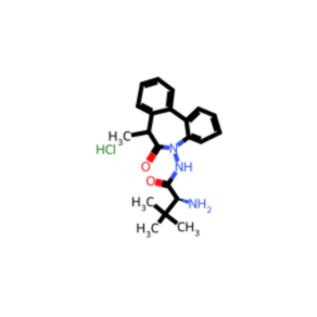 CC1C(=O)N(NC(=O)[C@@H](N)C(C)(C)C)c2ccccc2-c2ccccc21.Cl